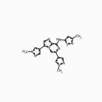 Cc1cc(Nc2nc(-c3cnn(C)c3)cn3c(-c4cnn(C)c4)cnc23)sn1